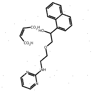 O=C(O)/C=C\C(=O)O.OC(COCCNc1ncccn1)c1cccc2ccccc12